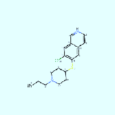 CC(C)CCN1CCC(Sc2cc3ccncc3cc2Cl)CC1